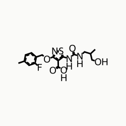 Cc1ccc(COc2nsc(NC(=O)NCC(C)CO)c2C(=O)O)c(F)c1